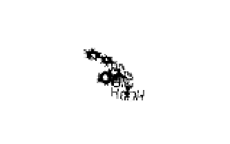 O=C(O)CNC(=O)C1=C(O)C2(CCCCC2)CN(Cc2ccc(-c3ccccn3)cc2)C1=O